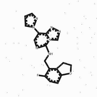 Fc1ccc2c(c1CNc1ncc(-n3cccn3)c3nncn13)CCO2